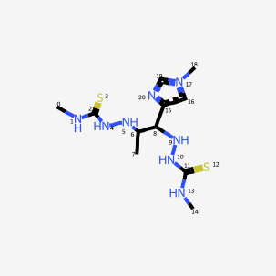 CNC(=S)NNC(C)C(NNC(=S)NC)c1cn(C)cn1